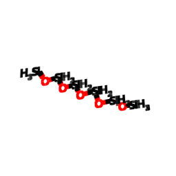 [SiH3]O[SiH2]O[SiH2]O[SiH2]O[SiH2]O[SiH3]